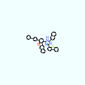 c1ccc(-c2ccc(-c3ccc(C4N=C(c5cccc6c5sc5ccccc56)N=C(c5ccc6ccccc6c5)N4)c4c3oc3cc5ccccc5cc34)cc2)cc1